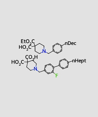 CCCCCCCCCCc1ccc(CN2CCC(C(=O)O)(C(=O)OCC)CC2)cc1.CCCCCCCc1ccc(-c2ccc(CN3CCC(C(=O)O)(C(=O)O)CC3)cc2F)cc1